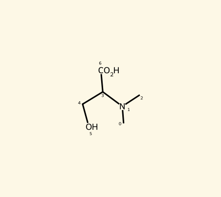 CN(C)C(CO)C(=O)O